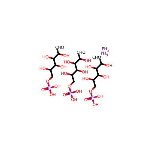 O=CC(O)C(O)C(O)C(O)COP(=O)(O)O.O=CC(O)C(O)C(O)C(O)COP(=O)(O)O.O=CC(O)C(O)C(O)C(O)COP(=O)(O)O.P.P